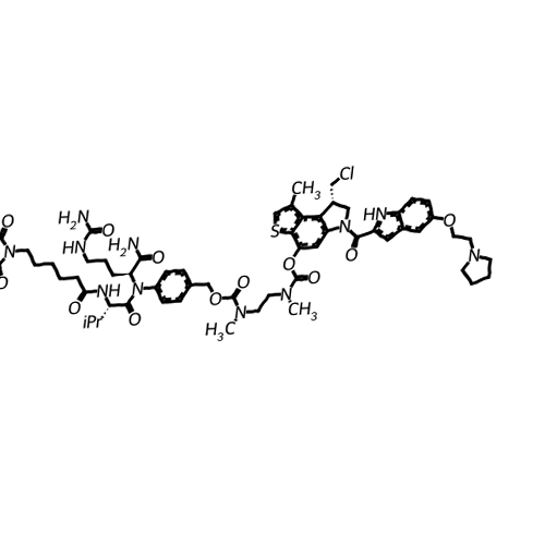 Cc1csc2c(OC(=O)N(C)CCN(C)C(=O)OCc3ccc(N(C(=O)[C@@H](NC(=O)CCCCCN4C(=O)C=CC4=O)C(C)C)[C@@H](CCCNC(N)=O)C(N)=O)cc3)cc3c(c12)[C@H](CCl)CN3C(=O)c1cc2cc(OCCN3CCCC3)ccc2[nH]1